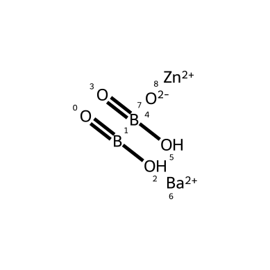 O=BO.O=BO.[Ba+2].[O-2].[Zn+2]